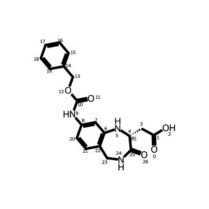 O=C(O)C[C@H]1Nc2cc(NC(=O)OCc3ccccc3)ccc2CNC1=O